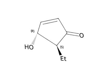 CC[C@@H]1C(=O)C=C[C@H]1O